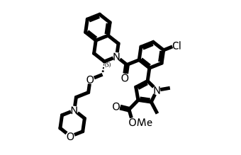 COC(=O)c1cc(-c2cc(Cl)ccc2C(=O)N2Cc3ccccc3C[C@H]2COCCN2CCOCC2)n(C)c1C